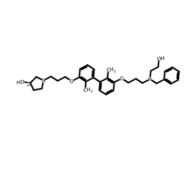 Cc1c(OCCCN(CCO)Cc2ccccc2)cccc1-c1cccc(OCCCN2CC[C@@H](O)C2)c1C